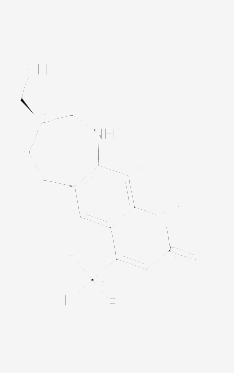 CC[C@@H]1CCc2cc3c(C(F)(F)F)cc(=O)oc3cc2NC1